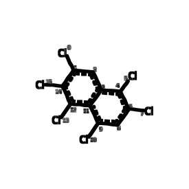 Clc1cc2c(Cl)c(Cl)cc(Cl)c2c(Cl)c1Cl